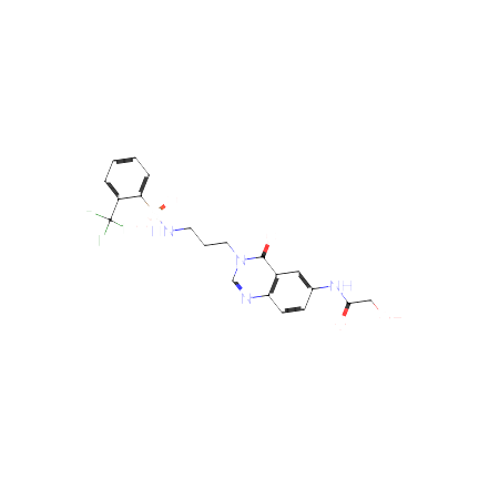 O=C(CO)Nc1ccc2ncn(CCCNS(=O)(=O)c3ccccc3C(F)(F)F)c(=O)c2c1